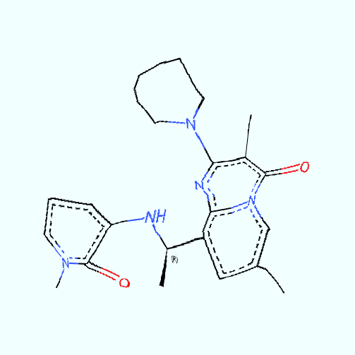 Cc1cc([C@@H](C)Nc2cccn(C)c2=O)c2nc(N3CCCCC3)c(C)c(=O)n2c1